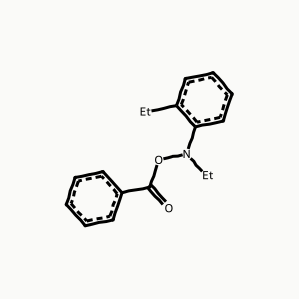 CCc1ccccc1N(CC)OC(=O)c1ccccc1